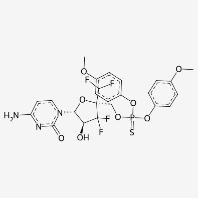 COc1ccc(OP(=S)(OC[C@@]2(C(F)F)O[C@@H](n3ccc(N)nc3=O)[C@H](O)C2(F)F)Oc2ccc(OC)cc2)cc1